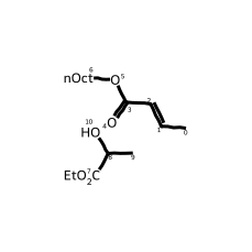 CC=CC(=O)OCCCCCCCC.CCOC(=O)C(C)O